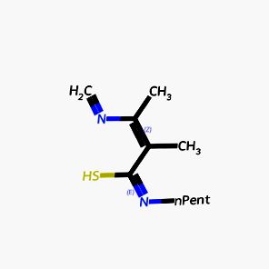 C=N/C(C)=C(C)\C(S)=N/CCCCC